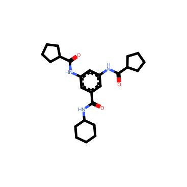 O=C(NC1CCCCC1)c1cc(NC(=O)C2CCCC2)cc(NC(=O)C2CCCC2)c1